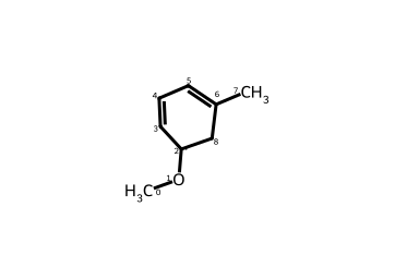 CO[C]1C=CC=C(C)C1